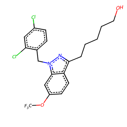 OCCCCCc1nn(Cc2ccc(Cl)cc2Cl)c2cc(OC(F)(F)F)ccc12